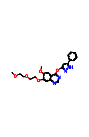 COCCOCCOc1cc2ncnc(Oc3cc(-c4ccccc4)[nH]n3)c2cc1OC